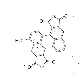 Cc1ccc(-c2c3c(cc4ccccc24)C(=O)OC3=O)c2cc3c(cc12)C(=O)OC3=O